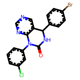 O=C1NC(c2ccc(Br)cc2)c2cncnc2N1c1cccc(Cl)c1